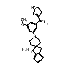 C=C(C1=NNCC1)c1cc(OC)nc(N2CCC3(CC2)Cc2ccccc2[C@H]3N)c1